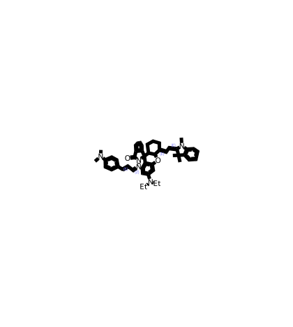 CCN(CC)c1ccc2c(c1)OC1/C(=C/C=C3/N(C)c4ccccc4C3(C)C)CCCC1C21c2ccccc2C(=O)N1/N=C\C=C\c1ccc(N(C)C)cc1